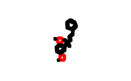 COc1ccc(OC)c(C(C)(C)C=CCc2ccccc2)c1